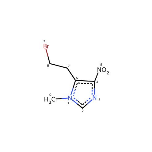 Cn1cnc([N+](=O)[O-])c1CCBr